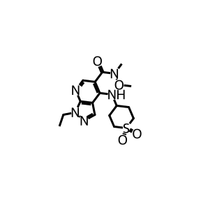 CCn1ncc2c(NC3CCS(=O)(=O)CC3)c(C(=O)N(C)OC)cnc21